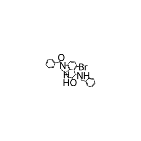 O=C(c1ccccc1)N1C[C@H]2C[C@H](O)[C@@H](NCc3ccccc3)c3c(Br)ccc1c32